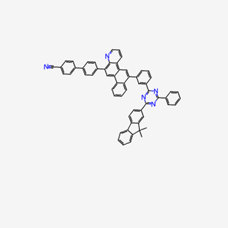 CC1(C)c2ccccc2-c2ccc(-c3nc(-c4ccccc4)nc(-c4cccc(-c5cc6c7cccnc7c(-c7ccc(-c8ccc(C#N)cc8)cc7)cc6c6ccccc56)c4)n3)cc21